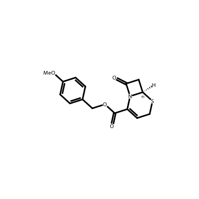 COc1ccc(COC(=O)C2=CCS[C@@H]3CC(=O)N23)cc1